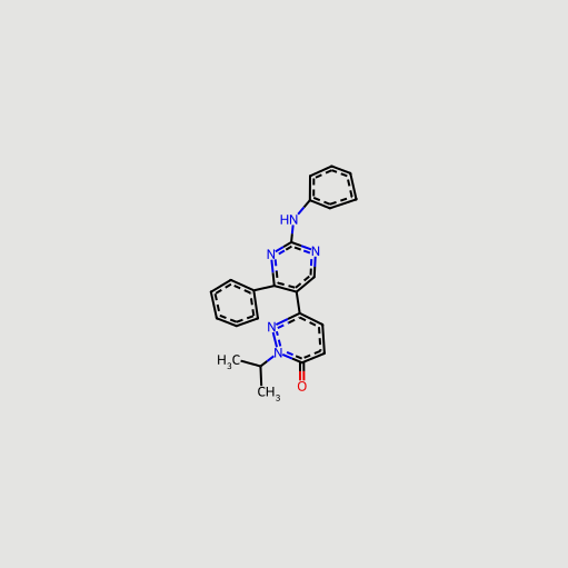 CC(C)n1nc(-c2cnc(Nc3ccccc3)nc2-c2ccccc2)ccc1=O